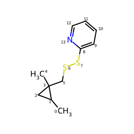 CC1CC1(C)CSSc1ccccn1